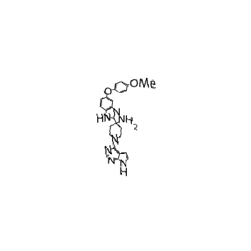 COc1ccc(Oc2ccc3[nH]c(C4(N)CCN(c5ncnc6[nH]ccc56)CC4)nc3c2)cc1